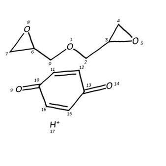 C(OCC1CO1)C1CO1.O=C1C=CC(=O)C=C1.[H+]